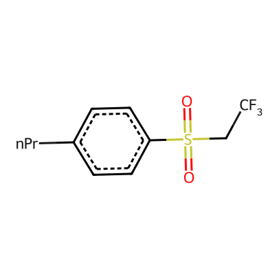 CCCc1ccc(S(=O)(=O)CC(F)(F)F)cc1